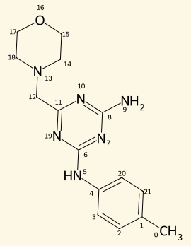 Cc1ccc(Nc2nc(N)nc(CN3CCOCC3)n2)cc1